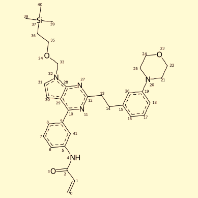 C=CC(=O)Nc1cccc(-c2nc(CCc3cccc(N4CCOCC4)c3)nc3c2ccn3COCC[Si](C)(C)C)c1